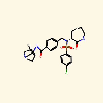 O=C(N[C@H]1CN2CCC1CC2)c1ccc(CN([C@@H]2CCCCNC2=O)S(=O)(=O)c2ccc(Cl)cc2)cc1